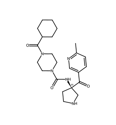 Cc1ccc(C(=O)[C@@]2(NC(=O)N3CCN(C(=O)C4CCCCC4)CC3)CCNC2)cn1